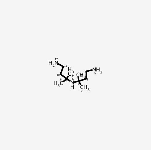 CC(C)(CCN)NC(C)(C)CCN